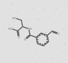 O=Cc1cccc(C(=O)NC(CO)C(=O)O)c1